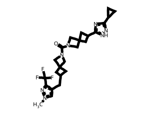 Cn1cc(CC2CC3(C2)CN(C(=O)N2CC4(CC(c5nc(C6CC6)n[nH]5)C4)C2)C3)c(C(F)(F)F)n1